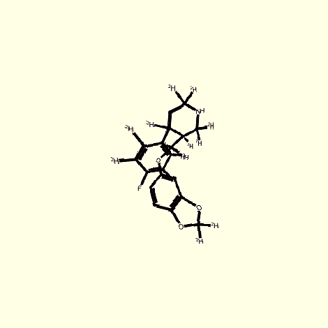 [2H]c1c([2H])c(C2([2H])CC([2H])([2H])NC([2H])([2H])[C@]2([2H])C([2H])([2H])Oc2ccc3c(c2)OC([2H])([2H])O3)c([2H])c([2H])c1F